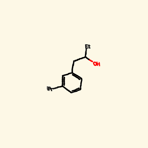 CCC(O)Cc1cccc(C(C)C)c1